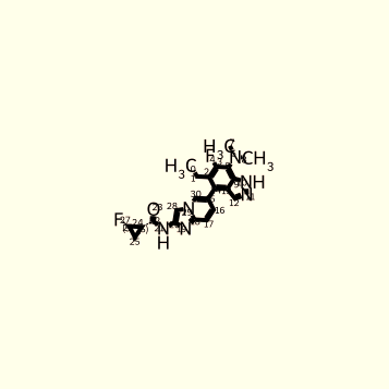 CCc1c(F)c(N(C)C)c2[nH]ncc2c1-c1ccc2nc(NC(=O)[C@@H]3C[C@@H]3F)cn2c1